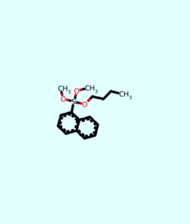 CCCCO[Si](OC)(OC)c1cccc2ccccc12